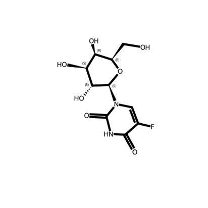 O=c1[nH]c(=O)n([C@@H]2O[C@H](CO)[C@H](O)[C@H](O)[C@H]2O)cc1F